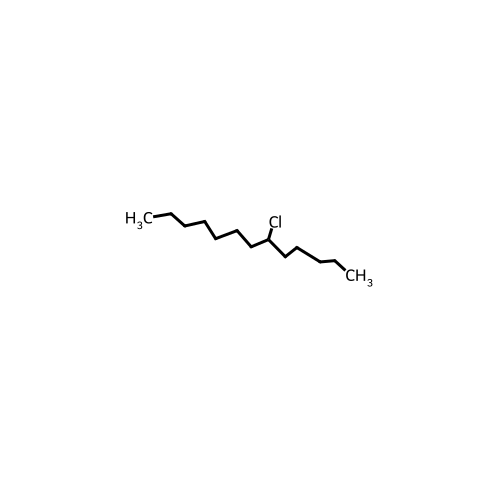 CCCCCCCC(Cl)CCCCC